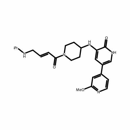 COc1cc(-c2c[nH]c(=O)c(NC3CCN(C(=O)/C=C/CNC(C)C)CC3)c2)ccn1